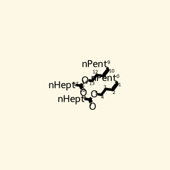 CCCCC/C=C\CCOC(=O)CCCCCCC.CCCCC/C=C\CCOC(=O)CCCCCCC